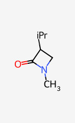 CC(C)C1CN(C)C1=O